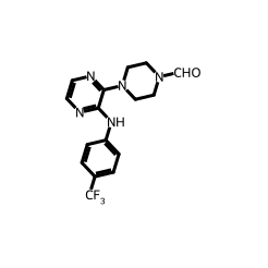 O=CN1CCN(c2nccnc2Nc2ccc(C(F)(F)F)cc2)CC1